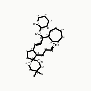 CC1(C)COC2(CCC(C=CC(OC3CCCCO3)C3CCCCCC3)C2CCC=O)OC1